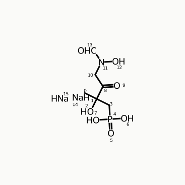 CC(O)(CP(=O)(O)O)C(=O)CN(O)C=O.[NaH].[NaH]